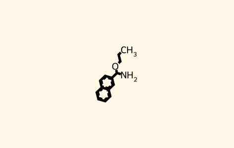 CCCOC(N)c1ccc2ccccc2c1